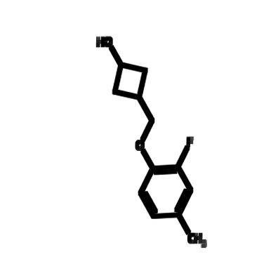 Cc1ccc(OCC2CC(O)C2)c(F)c1